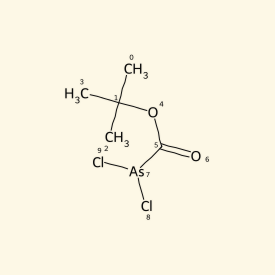 CC(C)(C)OC(=O)[As](Cl)Cl